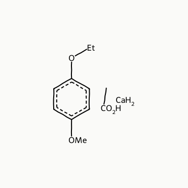 CC(=O)O.CCOc1ccc(OC)cc1.[CaH2]